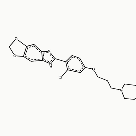 CN1CCN(CCCOc2ccc(-c3nc4cc5c(cc4[nH]3)OCO5)c(Cl)c2)CC1